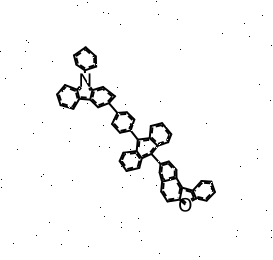 c1ccc(-n2c3ccccc3c3cc(-c4ccc(-c5c6ccccc6c(-c6ccc7c(ccc8oc9ccccc9c87)c6)c6ccccc56)cc4)ccc32)cc1